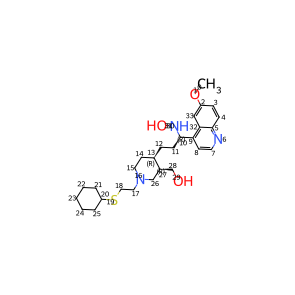 COc1ccc2nccc([C@@H](CC[C@@H]3CCN(CCSC4CCCCC4)C[C@@H]3CO)NO)c2c1